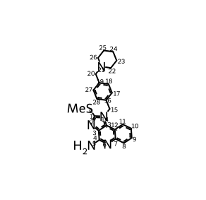 CSc1nc2c(N)nc3ccccc3c2n1Cc1ccc(CN2CCCCC2)cc1